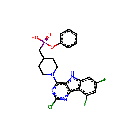 O=P(O)(CC1CCN(c2nc(Cl)nc3c2[nH]c2cc(F)cc(F)c23)CC1)Oc1ccccc1